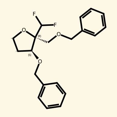 FC(F)[C@]1(COCc2ccccc2)O[CH][CH][C@@H]1OCc1ccccc1